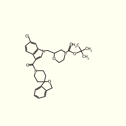 CC(C)(C)OC(=O)N1CCOC(Cn2cc(C(=O)N3CCC4(CC3)OCc3ccccc34)c3ccc(Cl)cc32)C1